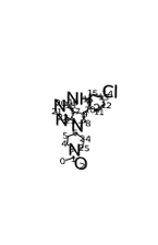 CC(=O)N1CCC(n2cc(-c3ccc(Cl)cc3)c3c(N)ncnc32)CC1